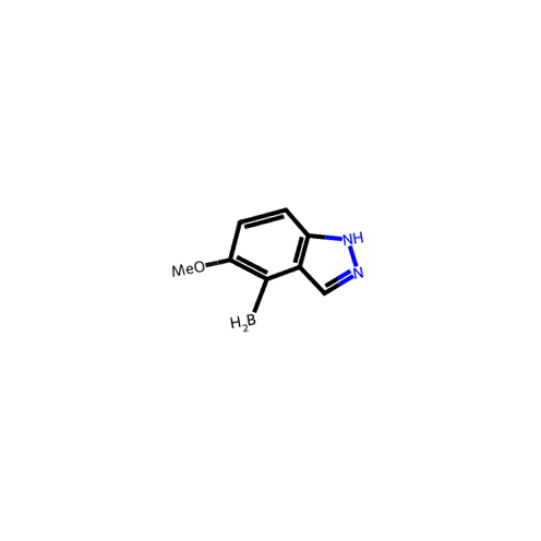 Bc1c(OC)ccc2[nH]ncc12